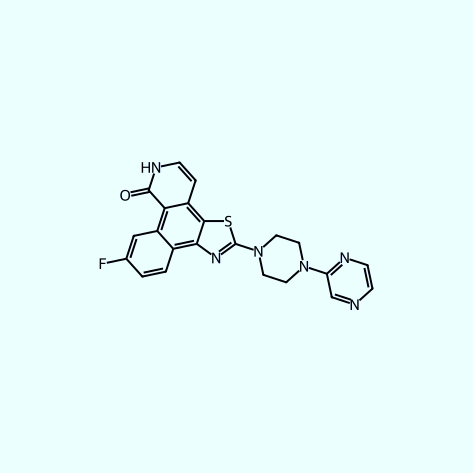 O=c1[nH]ccc2c3sc(N4CCN(c5cnccn5)CC4)nc3c3ccc(F)cc3c12